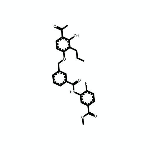 CCCc1c(OCc2cccc(C(=O)Nc3cc(C(=O)OC)ccc3F)c2)ccc(C(C)=O)c1O